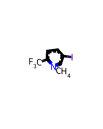 C.FC(F)(F)c1ccc(I)cn1